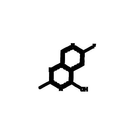 Cc1nc(O)c2cc(F)ncc2n1